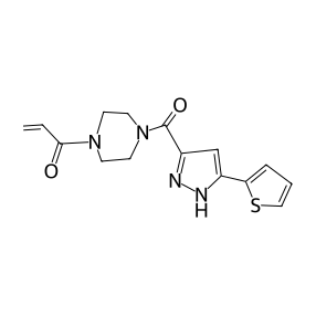 C=CC(=O)N1CCN(C(=O)c2cc(-c3cccs3)[nH]n2)CC1